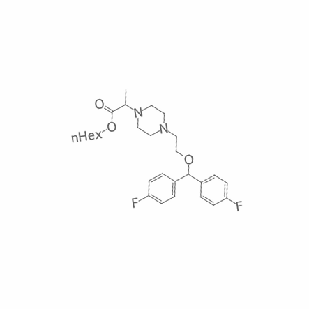 CCCCCCOC(=O)C(C)N1CCN(CCOC(c2ccc(F)cc2)c2ccc(F)cc2)CC1